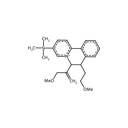 C=C(COC)C1C(CCOC)c2ccccc2-c2ccc([Si](C)(C)C)c[n+]21